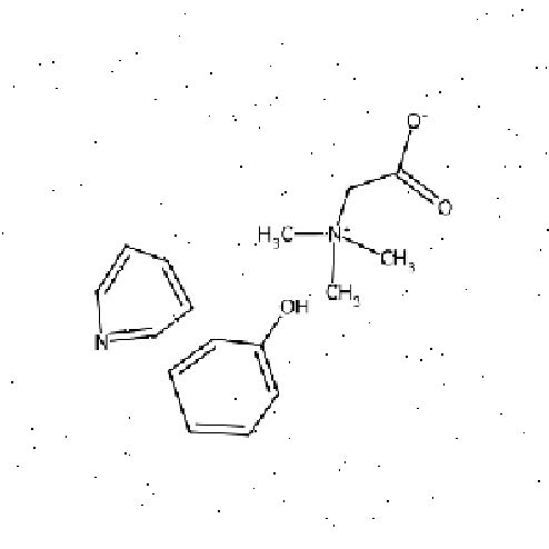 C[N+](C)(C)CC(=O)[O-].Oc1ccccc1.c1ccncc1